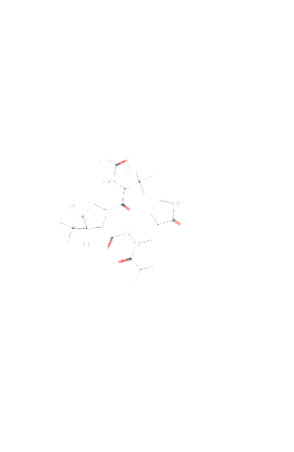 CCC(C)(C)C(NC(=O)C(F)(F)F)C(=O)N1C[C@H]2[C@@H]([C@H]1C(=O)NN(C[C@@H]1CCNC1=O)C(=O)C(F)Cl)C2(C)C